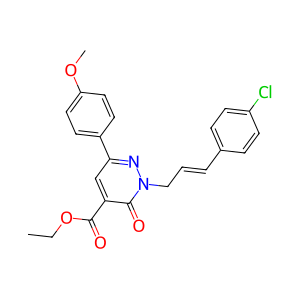 CCOC(=O)c1cc(-c2ccc(OC)cc2)nn(CC=Cc2ccc(Cl)cc2)c1=O